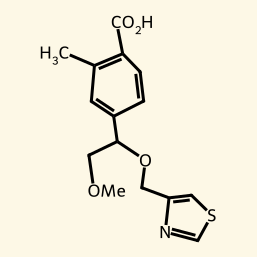 COCC(OCc1cscn1)c1ccc(C(=O)O)c(C)c1